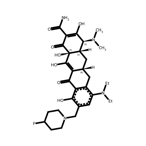 CCN(CC)c1cc(CN2CCC(F)CC2)c(O)c2c1C[C@H]1C[C@H]3[C@H](N(C)C)C(O)=C(C(N)=O)C(=O)[C@@]3(O)C(O)=C1C2=O